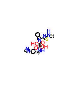 CCNc1nc([C@@H]2c3ccccc3CN2C(=O)[C@H](O)[C@@H](O)C(=O)N[C@H](C)c2ccc(-n3cccn3)cc2)cs1